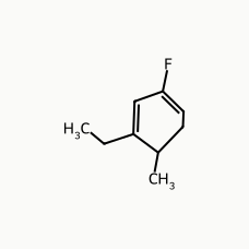 CCC1=CC(F)=CCC1C